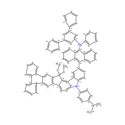 CCC1(CC)c2cc3c4ccccc4c4ccccc4c3cc2-c2ccc3c(c21)c1cc(-c2c4ccccc4c(N(c4ccccc4)c4cc(-c5ccccc5)cc(-c5ccccc5)c4)c4ccccc24)ccc1n3-c1ccc(C(C)C)cc1